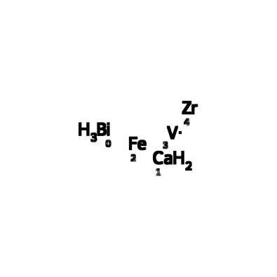 [BiH3].[CaH2].[Fe].[V].[Zr]